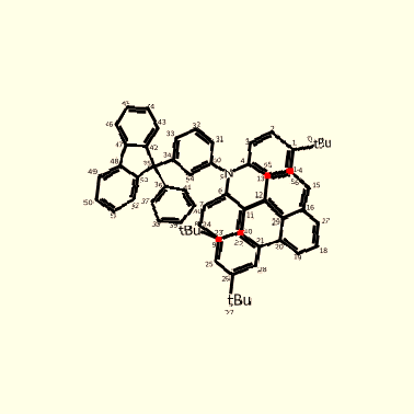 CC(C)(C)c1ccc(N(C2=CCCC=C2c2cccc3cccc(-c4cc(C(C)(C)C)cc(C(C)(C)C)c4)c23)c2cccc(C3(c4ccccc4)c4ccccc4-c4ccccc43)c2)cc1